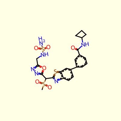 CS(=O)(=O)C(c1nnc(CNS(N)(=O)=O)o1)c1nc2ccc(-c3cccc(C(=O)NC4CCC4)c3)cc2s1